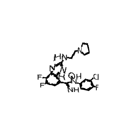 N=C(c1cc(F)c(F)c2nc(NCCN3CCCC3)[nH]c12)N(O)c1ccc(F)c(Cl)c1